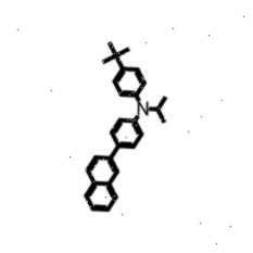 CC(C)N(c1ccc(-c2ccc3ccccc3c2)cc1)c1ccc(C(C)(C)C)cc1